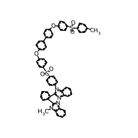 Cc1ccc(S(=O)(=O)c2ccc(Oc3ccc(-c4ccc(Oc5ccc(S(=O)(=O)c6ccc(-n7c(-c8ccccc8-c8nc9ccccc9n8C)nc8ccccc87)cc6)cc5)cc4)cc3)cc2)cc1